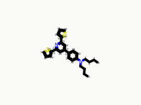 CCCCN(CCCC)c1ccc(-c2cc(-c3cccs3)nc(-c3cccs3)c2)cc1